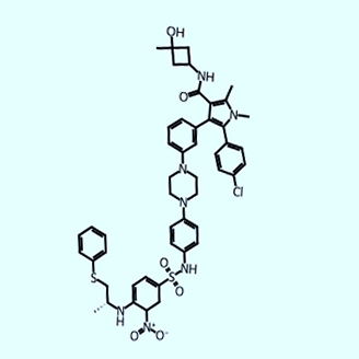 Cc1c(C(=O)NC2CC(C)(O)C2)c(-c2cccc(N3CCN(c4ccc(NS(=O)(=O)C5=CC=C(N[C@H](C)CSc6ccccc6)C([N+](=O)[O-])C5)cc4)CC3)c2)c(-c2ccc(Cl)cc2)n1C